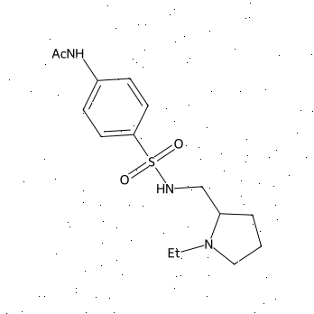 CCN1CCCC1CNS(=O)(=O)c1ccc(NC(C)=O)cc1